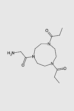 CCC(=O)N1CCN(C(=O)CC)CCN(C(=O)CN)CC1